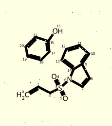 C=CCS(=O)(=O)n1ccc2ccccc21.Oc1ccccc1